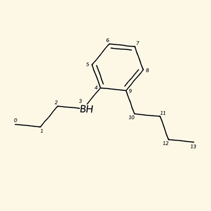 CCCBc1ccccc1CCCC